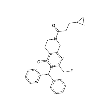 O=C(CCC1CC1)N1CCc2c(nc(CF)n(C(c3ccccc3)c3ccccc3)c2=O)C1